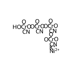 N#[C][Cr](=[O])(=[O])[O-].N#[C][Cr](=[O])(=[O])[O-].N#[C][Cr](=[O])(=[O])[O-].N#[C][Cr](=[O])(=[O])[OH].[K+].[Ni+2]